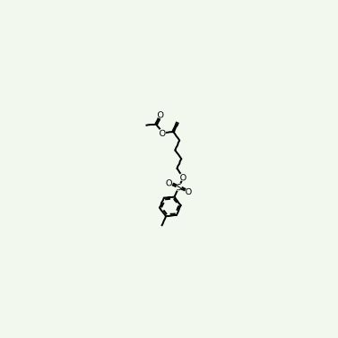 C=C(CCCCOS(=O)(=O)c1ccc(C)cc1)OC(C)=O